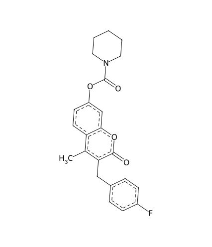 Cc1c(Cc2ccc(F)cc2)c(=O)oc2cc(OC(=O)N3CCCCC3)ccc12